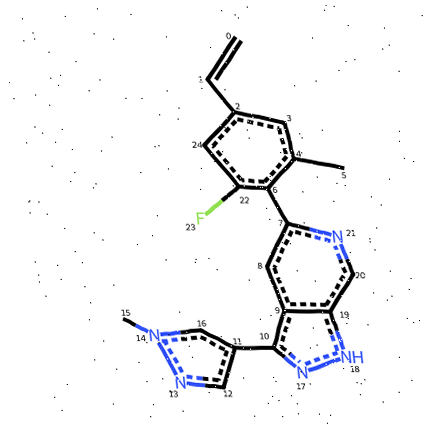 C=Cc1cc(C)c(-c2cc3c(-c4cnn(C)c4)n[nH]c3cn2)c(F)c1